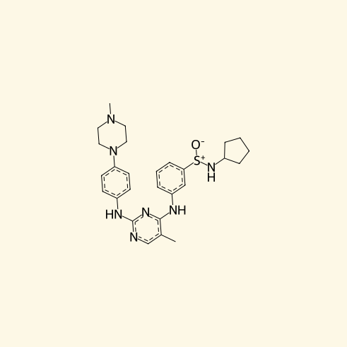 Cc1cnc(Nc2ccc(N3CCN(C)CC3)cc2)nc1Nc1cccc([S+]([O-])NC2CCCC2)c1